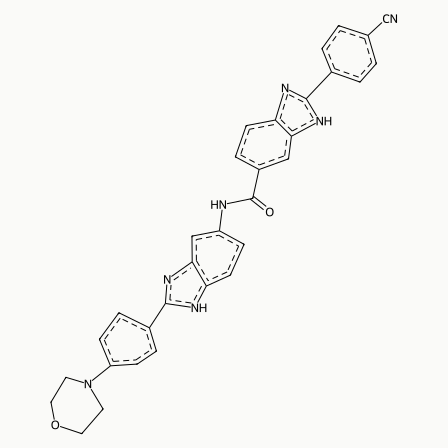 N#Cc1ccc(-c2nc3ccc(C(=O)Nc4ccc5[nH]c(-c6ccc(N7CCOCC7)cc6)nc5c4)cc3[nH]2)cc1